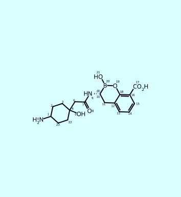 NC1CCC(O)(CC(=O)N[C@H]2Cc3cccc(C(=O)O)c3OB2O)CC1